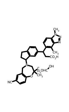 Cc1c(C(CC(=O)O)c2ccc3c(c2)C(N2Cc4cc(C#N)ccc4OC(C)(C)C2)CC3)ccc2c1nnn2C.O=CO